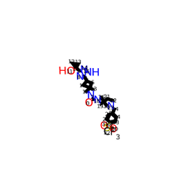 O=C(N1CC2(CC(c3nc(C4(O)CC4)n[nH]3)C2)C1)N1CC2(CCN(Cc3ccc(S(=O)(=O)C(F)(F)F)cc3)C2)C1